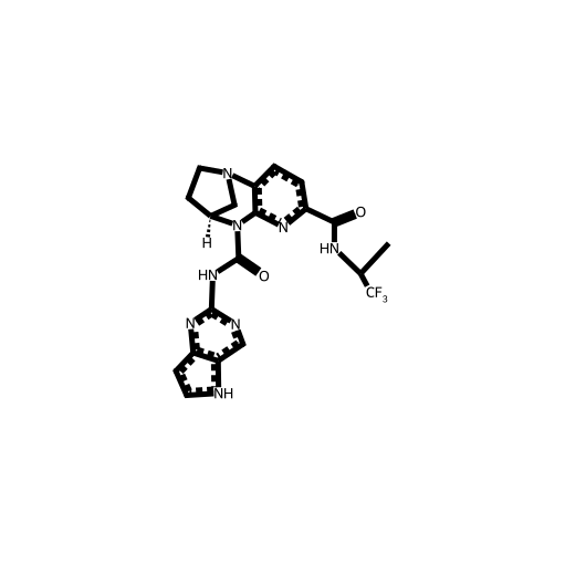 CC(NC(=O)c1ccc2c(n1)N(C(=O)Nc1ncc3[nH]ccc3n1)[C@H]1CCN2C1)C(F)(F)F